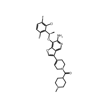 C[C@@H](Oc1c(N)ncc2c(C3=CCN(C(=O)C4CCN(C)CC4)CC3)coc12)c1c(F)ccc(F)c1Cl